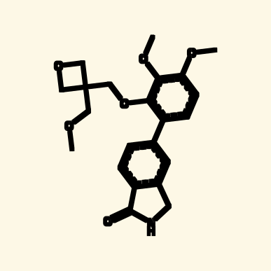 COCC1(COc2c(-c3ccc4c(c3)CNC4=O)ccc(OC)c2OC)COC1